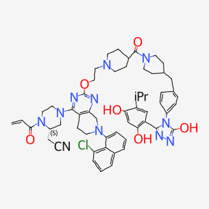 C=CC(=O)N1CCN(c2nc(OCCN3CCC(C(=O)N4CCC(Cc5ccc(-n6c(O)nnc6-c6cc(C(C)C)c(O)cc6O)cc5)CC4)CC3)nc3c2CCN(c2cccc4cccc(Cl)c24)C3)C[C@@H]1CC#N